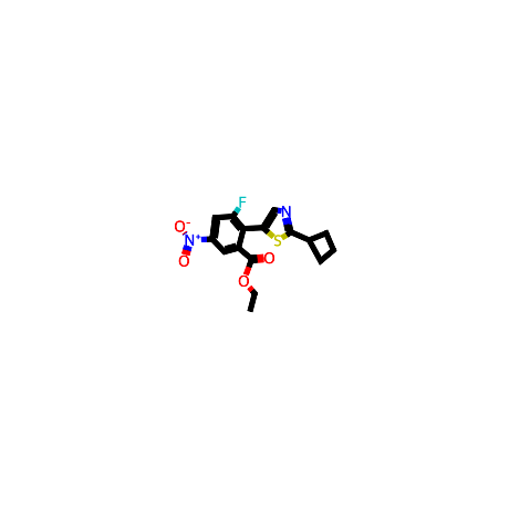 CCOC(=O)c1cc([N+](=O)[O-])cc(F)c1-c1cnc(C2CCC2)s1